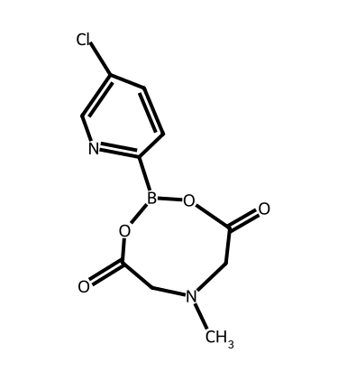 CN1CC(=O)OB(c2ccc(Cl)cn2)OC(=O)C1